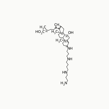 C[C@H](CCC[C@@H](C)[C@H]1CCC2C3C(CC[C@@]21C)[C@@]1(C)CC[C@H](NCCCNCCCCNCCCN)C=C1C[C@H]3O)C(=O)O